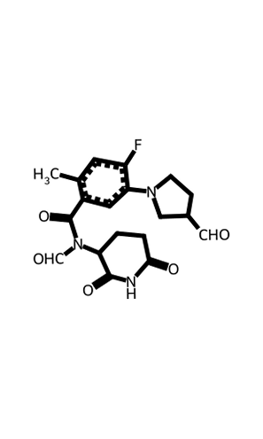 Cc1cc(F)c(N2CCC(C=O)C2)cc1C(=O)N(C=O)C1CCC(=O)NC1=O